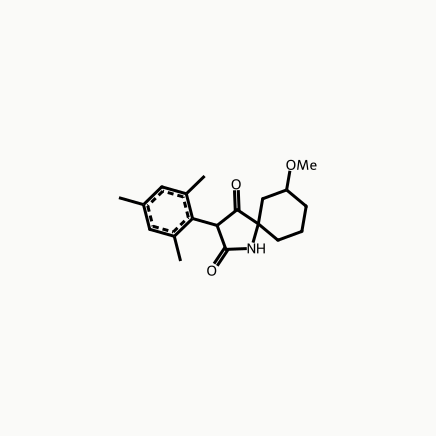 COC1CCCC2(C1)NC(=O)C(c1c(C)cc(C)cc1C)C2=O